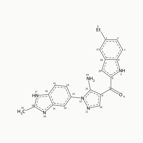 CCc1ccc2[nH]c(C(=O)c3cnn(-c4ccc5[nH]c(C)nc5c4)c3N)cc2c1